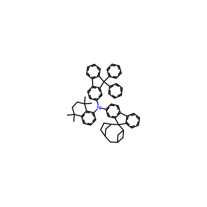 CC1(C)CCC(C)(C)c2c(N(c3ccc4c(c3)C(c3ccccc3)(c3ccccc3)c3ccccc3-4)c3ccc4c(c3)C3(c5ccccc5-4)C4CCC(CC5CC3C5)C4)cccc21